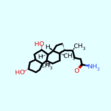 C[C@H](CCC(N)=O)[C@H]1CC[C@H]2[C@@H]3[C@@H](O)CC4C[C@@H](O)CC[C@]4(C)[C@H]3CC[C@]12C